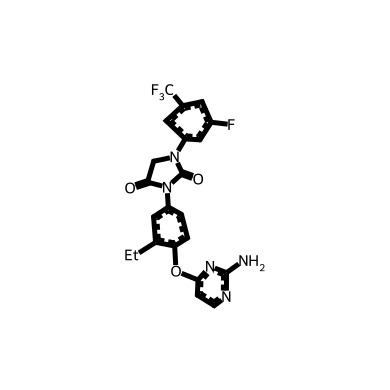 CCc1cc(N2C(=O)CN(c3cc(F)cc(C(F)(F)F)c3)C2=O)ccc1Oc1ccnc(N)n1